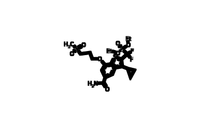 CCOP(=O)(OCC)C(F)(F)c1sc2c(OCCCS(C)(=O)=O)cc(C(N)=O)cc2c1C1CC1